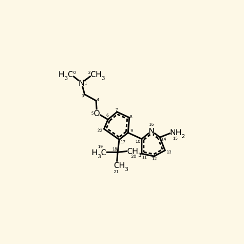 CN(C)CCOc1ccc(-c2cccc(N)n2)c(C(C)(C)C)c1